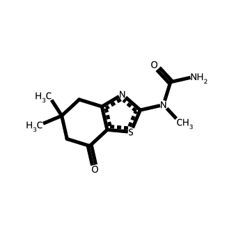 CN(C(N)=O)c1nc2c(s1)C(=O)CC(C)(C)C2